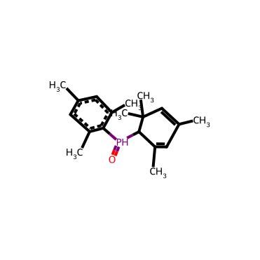 CC1=CC(C)(C)C([PH](=O)c2c(C)cc(C)cc2C)C(C)=C1